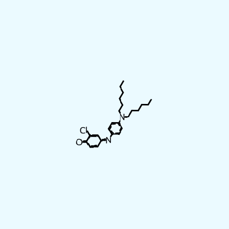 CCCCCCN(CCCCCC)c1ccc(/N=C2/C=CC(=O)C(Cl)=C2)cc1